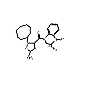 CC(=O)N1c2ccccc2N(C(=O)C2CC(C)ON2C2CCCCCCC2)C[C@@H]1C